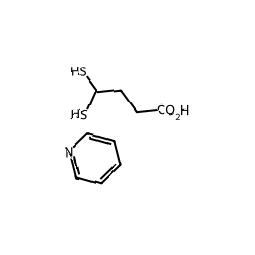 O=C(O)CCC(S)S.c1ccncc1